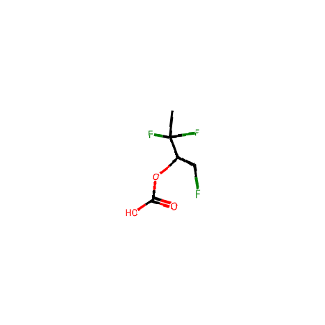 CC(F)(F)C(CF)OC(=O)O